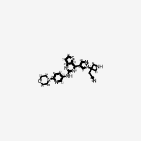 N#CCC1(n2cc(-c3nc(Nc4ccc(N5CCOCC5)nc4)nc4ccsc34)cn2)CNC1